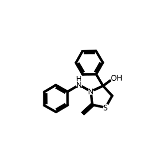 C=C1SCC(O)(c2ccccc2)N1Nc1ccccc1